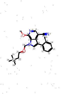 COc1ncc(C#N)c2c(-c3ccccc3C)cn(COCC[Si](C)(C)C)c12